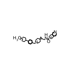 CN1CCC(c2ccc(CN3CCC4(CC3)CC4CNC(=O)N3Cc4ccncc4C3)cc2)CC1